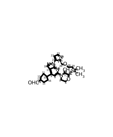 CC1COCCN1c1cc(C2CCC(C=O)CC2)c2cnn(-c3ccnn3COCC[Si](C)(C)C)c2n1